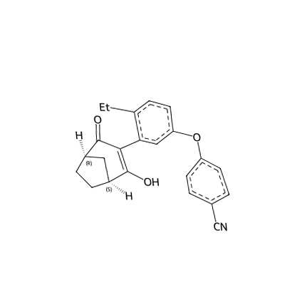 CCc1ccc(Oc2ccc(C#N)cc2)cc1C1=C(O)[C@H]2CC[C@H](C2)C1=O